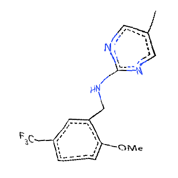 COc1ccc(C(F)(F)F)cc1CNc1ncc(C)cn1